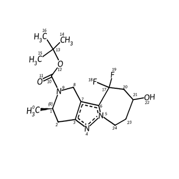 C[C@@H]1Cc2nn3c(c2CN1C(=O)OC(C)(C)C)C(F)(F)CC(O)CC3